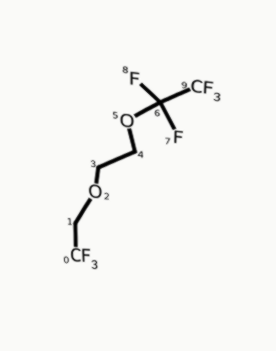 FC(F)(F)COCCOC(F)(F)C(F)(F)F